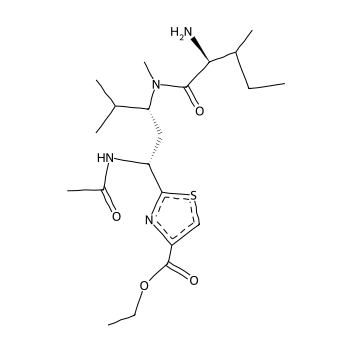 CCOC(=O)c1csc([C@@H](C[C@H](C(C)C)N(C)C(=O)[C@@H](N)C(C)CC)NC(C)=O)n1